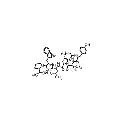 CC(C)CC(NC(=O)C1CCCN1C(=O)C(NC(=O)C(Cc1ccc(O)cc1)NC(=O)CN)C(C)C)C(=O)NC(Cc1c[nH]c2ccccc12)C(=O)N1CCCC1C(=O)O